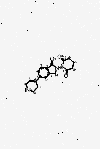 O=C1c2ccc(C3=CCNCC3)cc2CN1N1C(=O)CCCC1=O